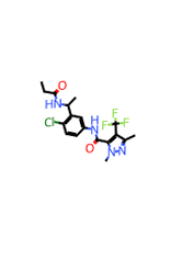 CCC(=O)NC(C)c1cc(NC(=O)c2c(C(F)(F)F)c(C)nn2C)ccc1Cl